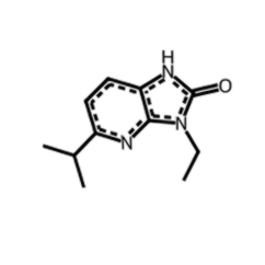 CCn1c(=O)[nH]c2ccc(C(C)C)nc21